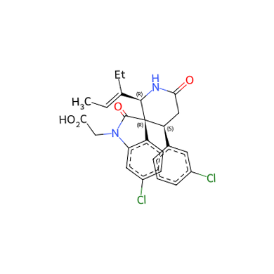 CC=C(CC)[C@H]1NC(=O)C[C@@H](c2cccc(Cl)c2)[C@]12C(=O)N(CC(=O)O)c1cc(Cl)ccc12